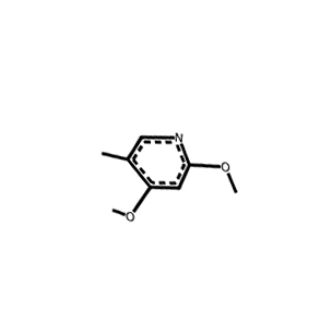 COc1cc(OC)c(C)cn1